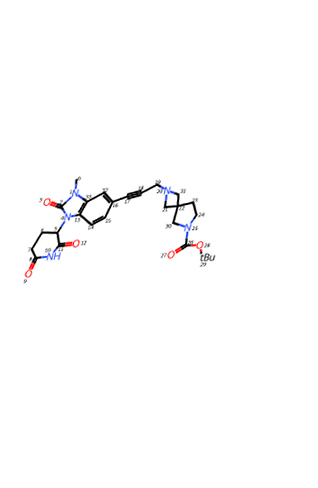 Cn1c(=O)n(C2CCC(=O)NC2=O)c2ccc(C#CCN3CC4(CCN(C(=O)OC(C)(C)C)C4)C3)cc21